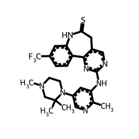 Cc1ncc(N2CCN(C)CC2(C)C)cc1Nc1ncc2c(n1)-c1ccc(C(F)(F)F)cc1NC(=S)C2